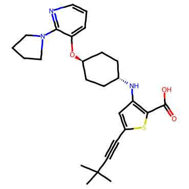 CC(C)(C)C#Cc1cc(N[C@H]2CC[C@H](Oc3cccnc3N3CCCC3)CC2)c(C(=O)O)s1